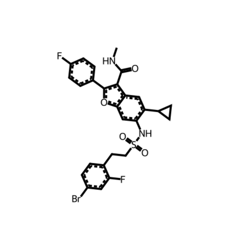 CNC(=O)c1c(-c2ccc(F)cc2)oc2cc(NS(=O)(=O)CCc3ccc(Br)cc3F)c(C3CC3)cc12